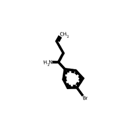 C=CCC(N)c1ccc(Br)cc1